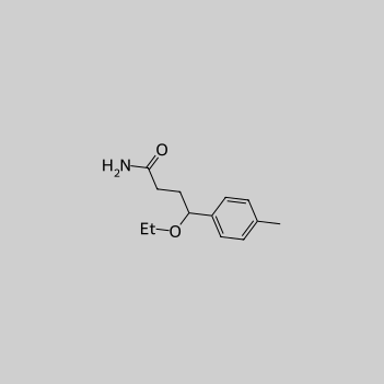 CCOC(CCC(N)=O)c1ccc(C)cc1